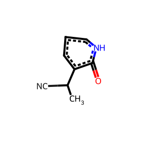 CC(C#N)c1ccc[nH]c1=O